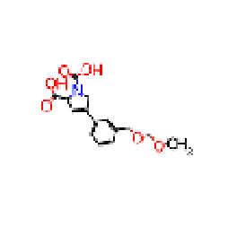 COCOCc1cccc(C2=CC(C(=O)O)N(C(=O)O)C2)c1